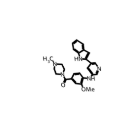 COc1cc(C(=O)N2CCN(C)CC2)ccc1Nc1cncc(-c2cc3ccccc3[nH]2)c1